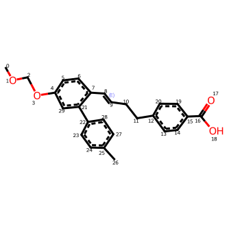 COCOc1ccc(/C=C/CCc2ccc(C(=O)O)cc2)c(-c2ccc(C)cc2)c1